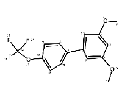 COc1cc(OC)cc(-c2ccc(OC(F)(F)F)cc2)c1